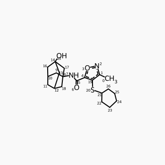 Cc1noc(C(=O)NC23CC4CC(CC(O)(C4)C2)C3)c1SC1CCCCC1